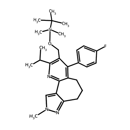 CC(C)c1nc2c(c(-c3ccc(F)cc3)c1CO[Si](C)(C)C(C)(C)C)CCCc1nn(C)cc1-2